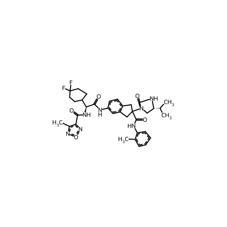 Cc1ccccc1NC(=O)C1(N2C[C@@H](C(C)C)NC2=O)Cc2ccc(NC(=O)[C@@H](NC(=O)c3nonc3C)C3CCC(F)(F)CC3)cc2C1